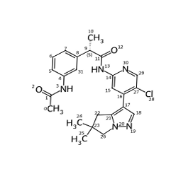 CC(=O)Nc1cccc([C@H](C)C(=O)Nc2cc(-c3cnn4c3CC(C)(C)C4)c(Cl)cn2)c1